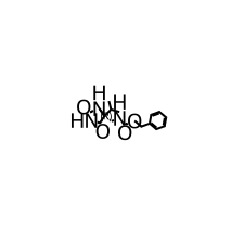 CC(C)[C@]1(CNC(=O)OCc2ccccc2)NC(=O)NC1=O